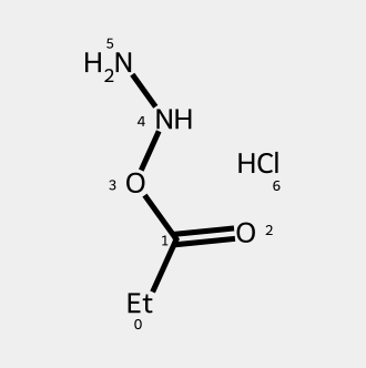 CCC(=O)ONN.Cl